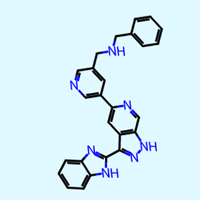 c1ccc(CNCc2cncc(-c3cc4c(-c5nc6ccccc6[nH]5)n[nH]c4cn3)c2)cc1